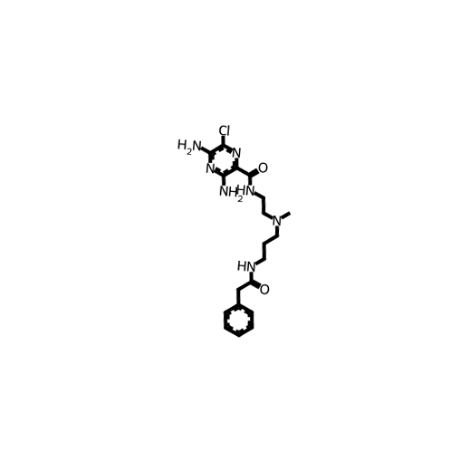 CN(CCCNC(=O)Cc1ccccc1)CCNC(=O)c1nc(Cl)c(N)nc1N